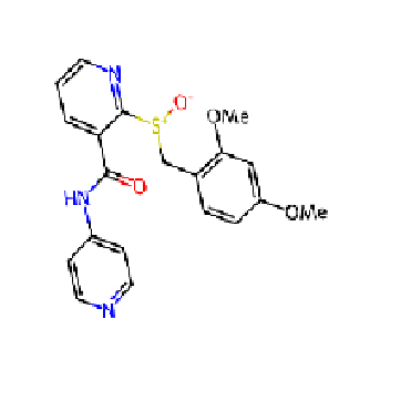 COc1ccc(C[S+]([O-])c2ncccc2C(=O)Nc2ccncc2)c(OC)c1